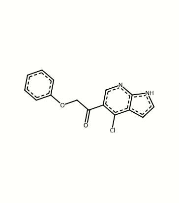 O=C(COc1ccccc1)c1cnc2[nH]ccc2c1Cl